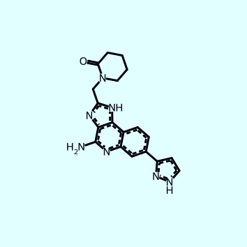 Nc1nc2cc(-c3cc[nH]n3)ccc2c2[nH]c(CN3CCCCC3=O)nc12